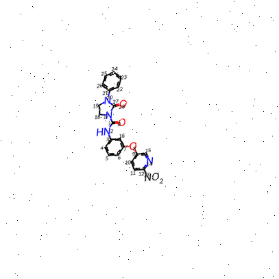 O=C(Nc1cccc(Oc2ccc([N+](=O)[O-])nc2)c1)N1CCN(c2ccccc2)C1=O